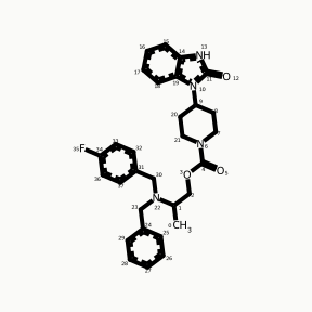 CC(COC(=O)N1CCC(n2c(=O)[nH]c3ccccc32)CC1)N(Cc1ccccc1)Cc1ccc(F)cc1